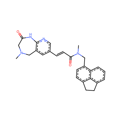 CN1CC(=O)Nc2ncc(C=CC(=O)N(C)Cc3ccc4c5c(cccc35)CC4)cc2C1